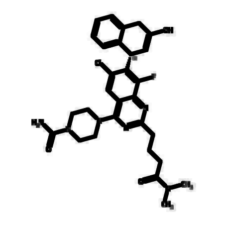 CN(C)C(=O)CCCc1nc(N2CCN(C(N)=O)CC2)c2cc(Cl)c([C@H]3C=C(O)Cc4ccccc43)c(F)c2n1